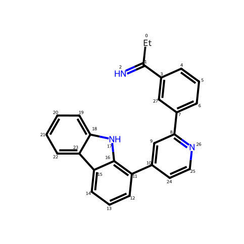 CCC(=N)c1cccc(-c2cc(-c3cccc4c3[nH]c3ccccc34)ccn2)c1